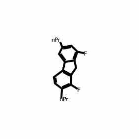 CCCc1cc(F)c2c(c1)-c1ccc(CCC)c(F)c1C2